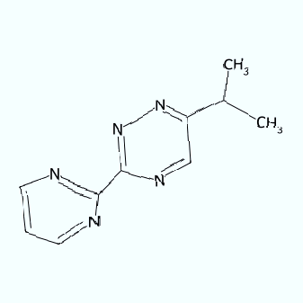 CC(C)c1cnc(-c2ncccn2)nn1